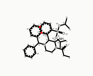 CCC(=S)N1CCN(C(c2ccccc2)c2ccccc2)C(c2ncccc2P(=O)(OC(C)C)OC(C)C)C1N